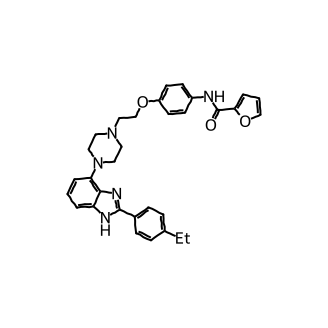 CCc1ccc(-c2nc3c(N4CCN(CCOc5ccc(NC(=O)c6ccco6)cc5)CC4)cccc3[nH]2)cc1